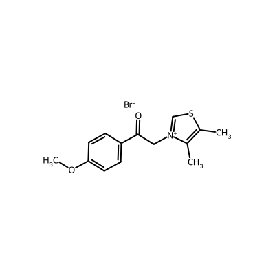 COc1ccc(C(=O)C[n+]2csc(C)c2C)cc1.[Br-]